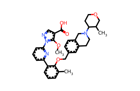 COc1c(C(=O)O)cnn1-c1cccc(-c2cccc(C)c2OCc2ccc3c(c2)CCN(C2CCOCC2C)C3)n1